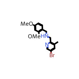 COc1ccc(CNCc2ncc(Br)cc2C)c(OC)c1